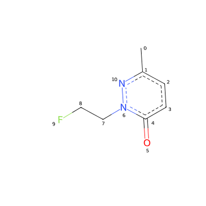 Cc1ccc(=O)n(CCF)n1